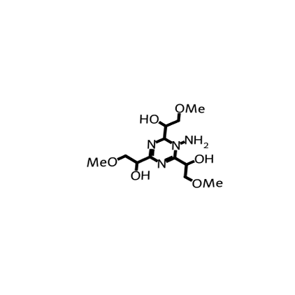 COCC(O)C1=NC(C(O)COC)N(N)C(C(O)COC)=N1